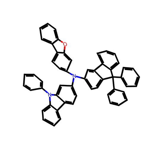 c1ccc(-n2c3ccccc3c3ccc(N(c4ccc5c(c4)-c4ccccc4C5(c4ccccc4)c4ccccc4)c4ccc5c(c4)oc4ccccc45)cc32)cc1